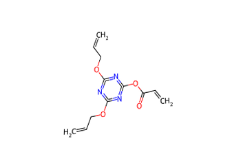 C=CCOc1nc(OCC=C)nc(OC(=O)C=C)n1